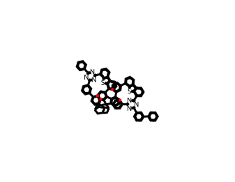 c1ccc(-c2cccc(-c3nc(-c4ccccc4)nc(-c4cccc5c4sc4c(-c6cccc(-c7cccc8c7-c7c(-c9cccc%10c9sc9c(-c%11nc(-c%12ccccc%12)nc(-c%12cccc(-c%13ccccc%13)c%12)n%11)cccc9%10)cccc7C87C8CC9CC(C8)CC7C9)c6)cccc45)n3)c2)cc1